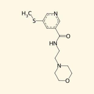 CSc1cncc(C(=O)NCCN2CCOCC2)c1